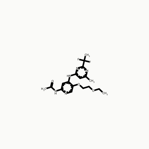 CCOCCOc1cnc(NC(C)=O)cc1Nc1cc(C)nc(C(C)(F)F)n1